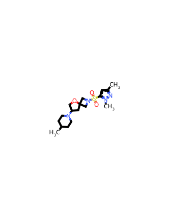 Cc1cc(S(=O)(=O)N2CC3(CC(N4CCC(C)CC4)CO3)C2)n(C)n1